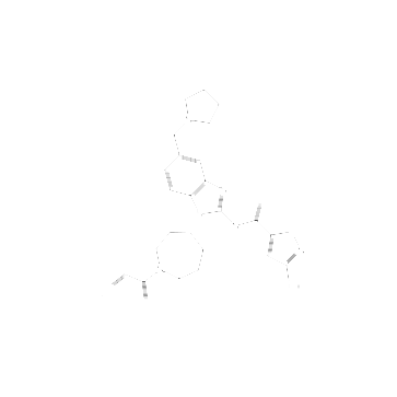 C=CC(=O)N1CCC[C@@H](n2c(NC(=O)c3cc(C(C)(C)C)no3)nc3cc(CN4CCCC4)ccc32)CC1